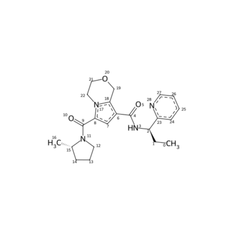 CC[C@@H](NC(=O)c1cc(C(=O)N2CCC[C@@H]2C)n2c1COCC2)c1ccccn1